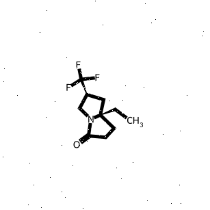 CC[C@@]12CCC(=O)N1C[C@@H](C(F)(F)F)C2